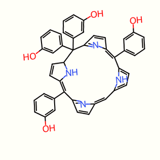 Oc1cccc(C2=C3C=CC(N3)C(c3cccc(O)c3)(c3cccc(O)c3)C3=NC(=C(c4cccc(O)c4)c4ccc([nH]4)C=C4C=CC2=N4)C=C3)c1